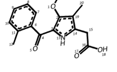 COc1c(C(=O)c2ccccc2C)[nH]c(CC(=O)O)c1C